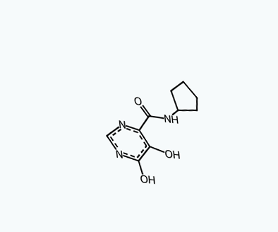 O=C(NC1CCCC1)c1ncnc(O)c1O